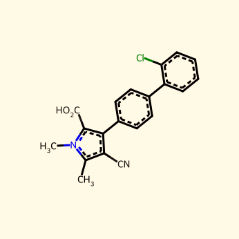 Cc1c(C#N)c(-c2ccc(-c3ccccc3Cl)cc2)c(C(=O)O)n1C